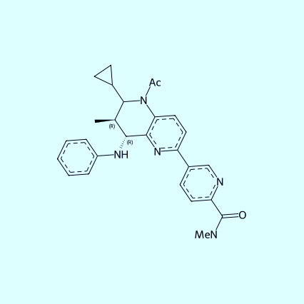 CNC(=O)c1ccc(-c2ccc3c(n2)[C@H](Nc2ccccc2)[C@@H](C)C(C2CC2)N3C(C)=O)cn1